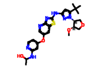 CO[C@H]1COC[C@H]1n1nc(Nc2nc3ncc(Oc4ccnc(NC(C)O)c4)cc3s2)cc1C(C)(C)C